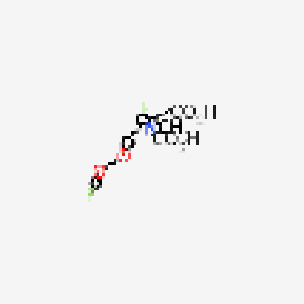 Cc1c(CCCC(=O)O)c2c(F)ccc(C=Cc3ccc(OCCCCOc4ccc(F)cc4)cc3)c2n1CC(=O)O